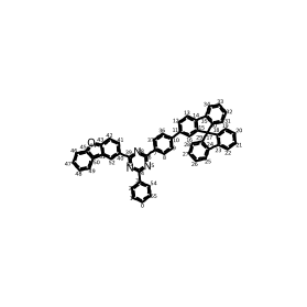 c1ccc(-c2nc(-c3ccc(-c4ccc5c(c4)C4(c6ccccc6-c6ccccc64)c4ccccc4-5)cc3)nc(-c3ccc4oc5ccccc5c4c3)n2)cc1